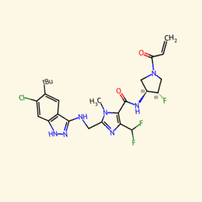 C=CC(=O)N1C[C@H](NC(=O)c2c(C(F)F)nc(CNc3n[nH]c4cc(Cl)c(C(C)(C)C)cc34)n2C)[C@@H](F)C1